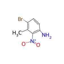 Cc1c(Br)ccc(N)c1[N+](=O)[O-]